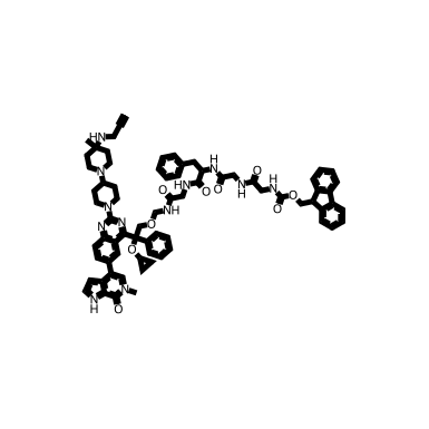 C#CCNC1(C)CCN(C2CCN(c3nc(C(COCNC(=O)CNC(=O)C(Cc4ccccc4)NC(=O)CNC(=O)CNC(=O)OCC4c5ccccc5-c5ccccc54)(OC4CC4)c4ccccc4)c4cc(-c5cn(C)c(=O)c6[nH]ccc56)ccc4n3)CC2)CC1